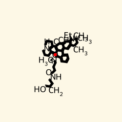 C=C(CO)CCNC(=O)CCCN(C)C(=O)c1ccccc1C1=c2cc3c(cc2C(C)(C)c2c1cc1c4c2CCCN4CCC1)=[N+](CC)C(C)(C)CC3C